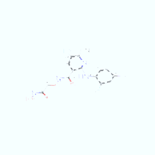 N#Cc1nc(Nc2ccc(I)cc2F)c(C(=O)NOCC(=O)NO)cc1F